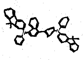 CC1(C)C2=C(C=CCC2)c2ccc(N(c3ccccc3)c3ccc(-c4ccc(N(c5ccccc5)c5ccc6c(c5)C(C)(C)c5ccccc5-6)c5ccccc45)cc3)cc21